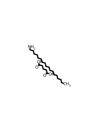 CCCCCCCCCCCCCCCCCCN.O=C(O)CCCC(=O)O